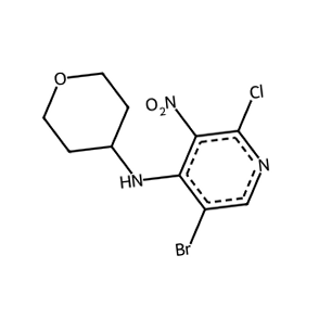 O=[N+]([O-])c1c(Cl)ncc(Br)c1NC1CCOCC1